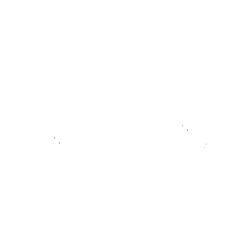 [CH2]CN1CCCC(CCN(C)C(C)=O)C1